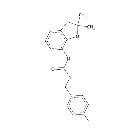 CC1(C)Cc2cccc(OC(=O)NCc3ccc(I)cc3)c2O1